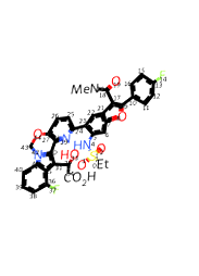 CCS(=O)(=O)Nc1cc2oc(-c3ccc(F)cc3)c(C(=O)NC)c2cc1-c1ccc2c(n1)-c1c(C(O)C(=O)O)c3c(F)cccc3n1CO2